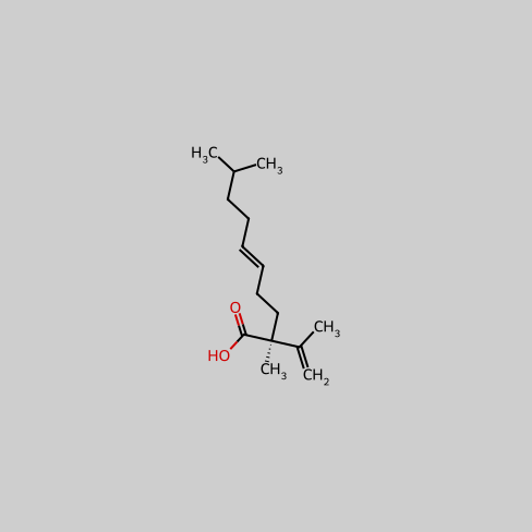 C=C(C)[C@](C)(CCC=CCCC(C)C)C(=O)O